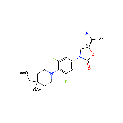 COCC1(OC(C)=O)CCN(c2c(F)cc(N3C[C@@H](C(N)C(C)=O)OC3=O)cc2F)CC1